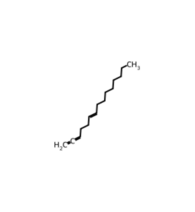 C=C=CCCC=CCCCCCCCC